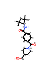 CC1(C)CC(C)(C)C1NC(=O)c1ccc(C(=O)N2CCC(CO)CC2)cc1